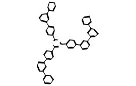 C1=CC(c2cccc(-c3ccc(-c4nc(-c5ccc(-c6cccc(-c7ccccc7)c6)cc5)nc(-c5ccc(-c6cccc(-c7cccc(-c8ccccc8)c7)c6)cc5)n4)cc3)c2)=CCC1